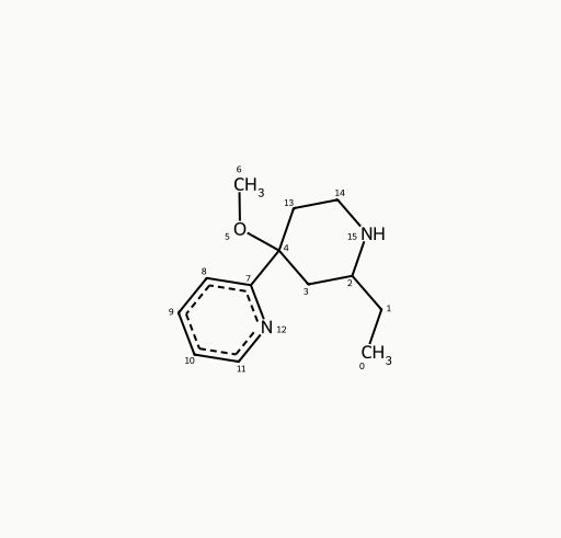 CCC1CC(OC)(c2ccccn2)CCN1